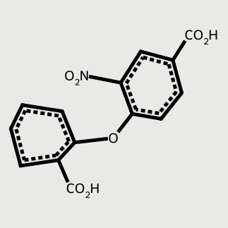 O=C(O)c1ccc(Oc2ccccc2C(=O)O)c([N+](=O)[O-])c1